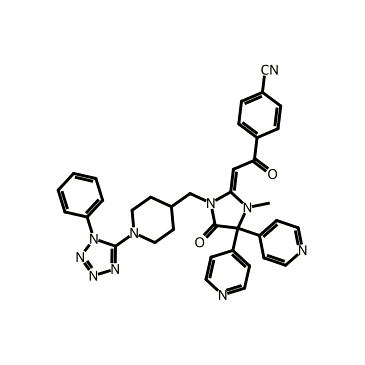 CN1C(=CC(=O)c2ccc(C#N)cc2)N(CC2CCN(c3nnnn3-c3ccccc3)CC2)C(=O)C1(c1ccncc1)c1ccncc1